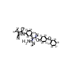 C=N/C(N)=C(\C(=N/C)Oc1ccc(Oc2ccccc2)cc1)c1cccc(NC(=O)C2(C#N)CC2)c1